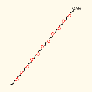 C=CCOCCOCCOCCOCCOCCOCCOCCOCCOCCOCCOCCOC